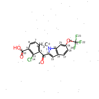 Cn1c(C(=O)c2cccc(C(=O)O)c2Cl)cc2ccc(OC(F)(F)F)cc21